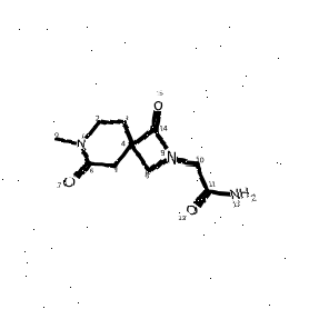 CN1CCC2(CC1=O)CN(CC(N)=O)C2=O